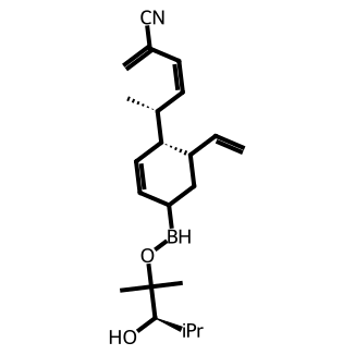 C=CC1CC(BOC(C)(C)[C@H](O)C(C)C)C=C[C@@H]1[C@H](C)/C=C\C(=C)C#N